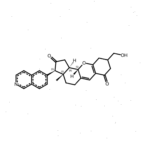 C[C@]12CCC3=CC4=C(CC(CO)CC4=O)O[C@H]3[C@@H]1CC(=O)[C@@H]2c1ccc2cnccc2c1